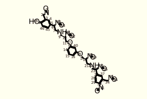 O=NCc1cc(C(CNC[C@H](COc2cccc(OC[C@H](CNCC(N=O)c3ccc(N=O)c(CN=O)c3)N=O)c2)N=O)N=O)ccc1O